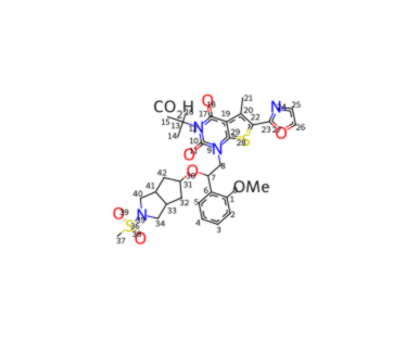 COc1ccccc1C(Cn1c(=O)n(C(C)(C)C(=O)O)c(=O)c2c(C)c(-c3ncco3)sc21)OC1CC2CN(S(C)(=O)=O)CC2C1